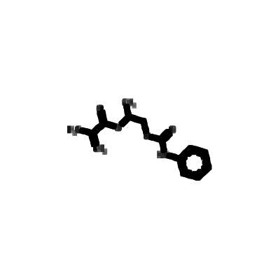 C=C(C)C(=O)OC(C)COC(=O)Nc1ccccc1